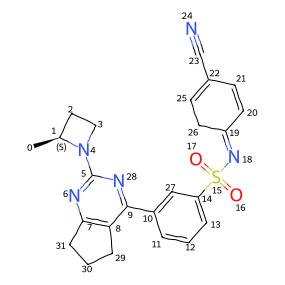 C[C@H]1CCN1c1nc2c(c(-c3cccc(S(=O)(=O)N=C4C=CC(C#N)=CC4)c3)n1)CCC2